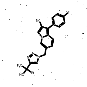 CCC(O)(c1cn(Cc2ccc3c(-c4ccc(F)cc4)c(C#N)cn3c2)nn1)C(F)(F)F